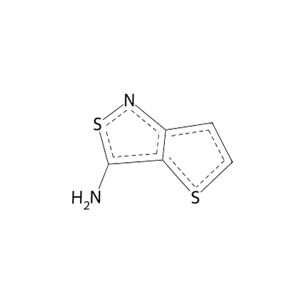 Nc1snc2ccsc12